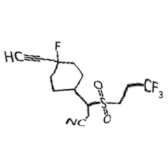 C#CC1(F)CCC(C(C#N)S(=O)(=O)CCC(F)(F)F)CC1